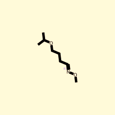 CO/N=C/CCCOC(C)C